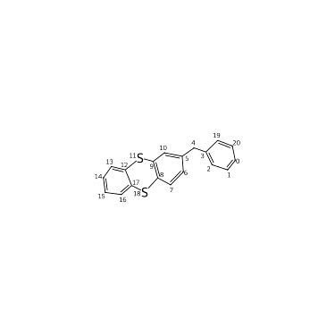 c1ccc(Cc2ccc3c(c2)Sc2ccccc2S3)cc1